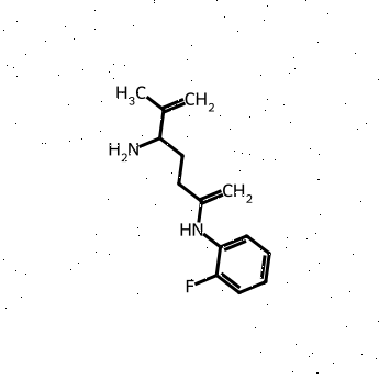 C=C(CCC(N)C(=C)C)Nc1ccccc1F